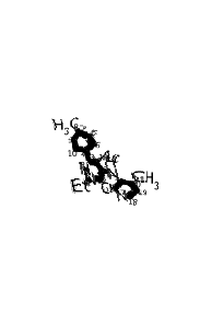 CCn1nc(-c2ccc(C)cc2)c(C(C)=O)c(Nc2cnccc2C)c1=O